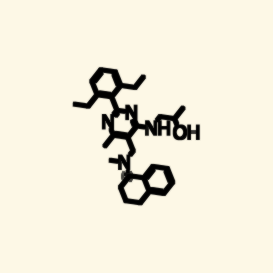 CCc1cccc(CC)c1-c1nc(C)c(CN(C)[C@H]2CCCc3ccccc32)c(NCC(C)O)n1